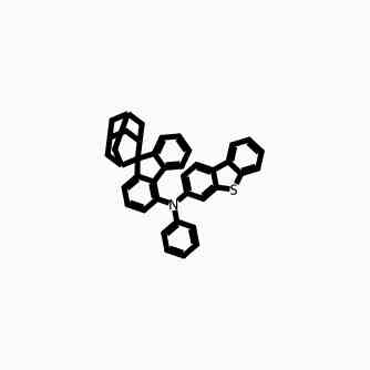 c1ccc(N(c2ccc3c(c2)sc2ccccc23)c2cccc3c2-c2ccccc2C32C3CC4CC(C3)CC2C4)cc1